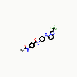 CC(=O)Nc1ccc(C(=O)N[C@H]2CC[C@@H](Nc3cccc4nc(C(F)(F)F)cn34)CC2)cc1